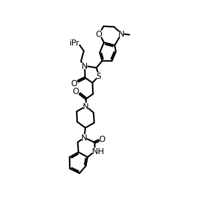 CC(C)CCN1C(=O)C(CC(=O)N2CCC(N3Cc4ccccc4NC3=O)CC2)SC1c1ccc2c(c1)OCCN2C